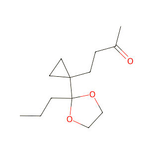 CCCC1(C2(CCC(C)=O)CC2)OCCO1